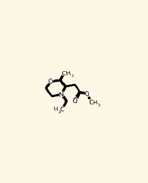 CCN1CCOC(C)C1CC(=O)OC